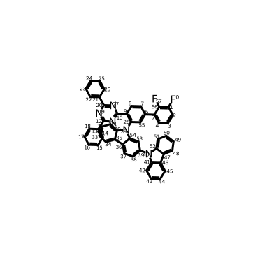 Fc1cccc(-c2ccc(-c3nc(-c4ccccc4)nc(-c4ccccc4)n3)c(-n3c4ccccc4c4ccc(-n5c6ccccc6c6ccccc65)cc43)c2)c1F